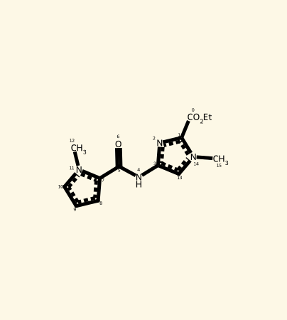 CCOC(=O)c1nc(NC(=O)c2cccn2C)cn1C